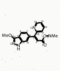 CNOC(=O)C=C(c1ccc2c(OC)n[nH]c2c1)c1ccccn1